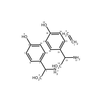 C=C.NC(C(=O)O)c1ccc(O)cc1.NC(C(=O)O)c1ccc(O)cc1